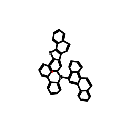 c1ccc(-c2ccccc2N(c2ccc3sc4c5ccccc5ccc4c3c2)c2cc3c4ccccc4ccc3c3ccccc23)cc1